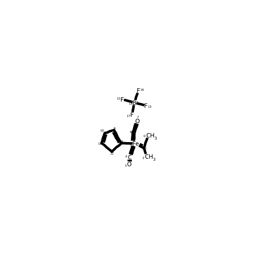 C[C](C)=[Fe](=[C]=O)(=[C]=O)[C]1=CC=CC1.F[B-](F)(F)F